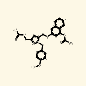 COc1ccc(Cn2nc(CSC(C)=O)cc2CSc2cc(OC(C)=O)c3ccccc3c2)cc1